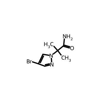 CC(C)(C(N)=O)n1cc(Br)cn1